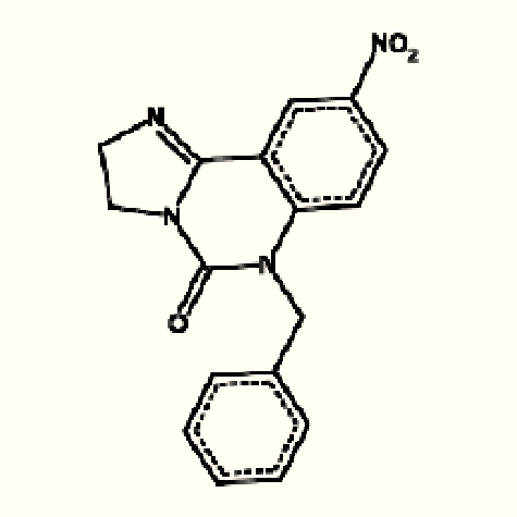 O=C1N2CCN=C2c2cc([N+](=O)[O-])ccc2N1Cc1ccccc1